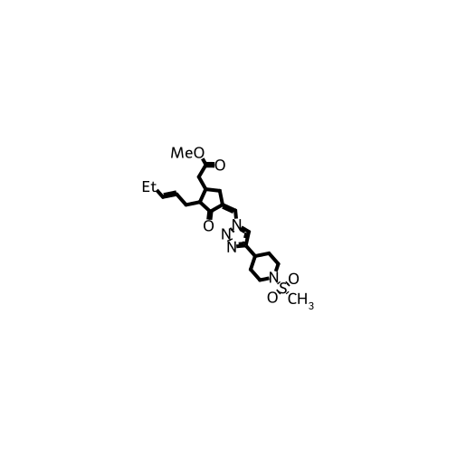 CC/C=C/CC1C(=O)/C(=C\n2cc(C3CCN(S(C)(=O)=O)CC3)nn2)CC1CC(=O)OC